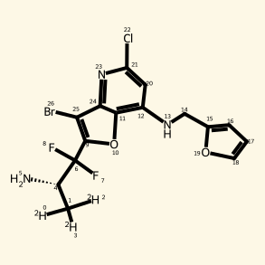 [2H]C([2H])([2H])[C@H](N)C(F)(F)c1oc2c(NCc3ccco3)cc(Cl)nc2c1Br